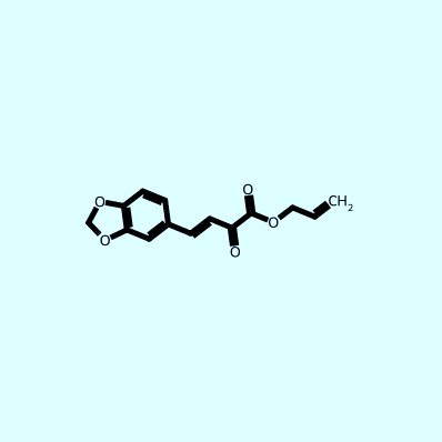 C=CCOC(=O)C(=O)/C=C/c1ccc2c(c1)OCO2